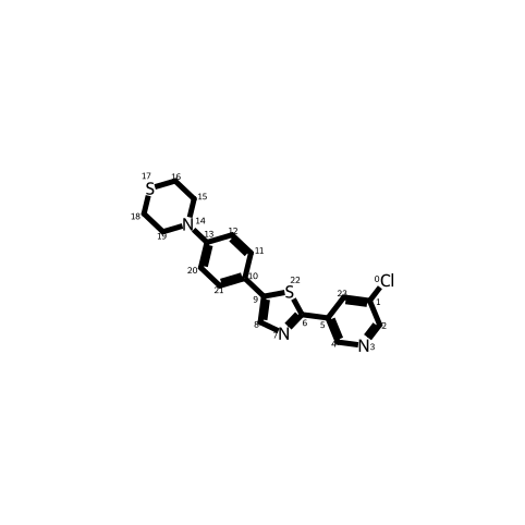 Clc1cncc(-c2ncc(-c3ccc(N4CCSCC4)cc3)s2)c1